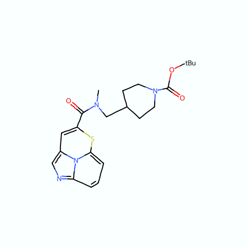 CN(CC1CCN(C(=O)OC(C)(C)C)CC1)C(=O)C1=Cc2cnc3cccc(n23)S1